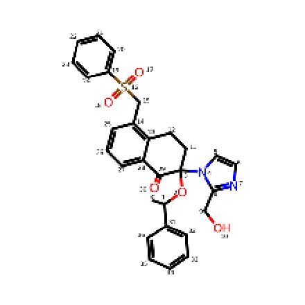 CC(OC1(n2ccnc2CO)CCc2c(CS(=O)(=O)c3ccccc3)cccc2C1=O)c1ccccc1